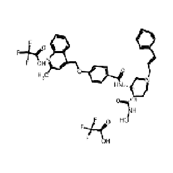 Cc1cc(COc2ccc(C(=O)N[C@@H]3CN(CC=Cc4ccccc4)CC[C@@H]3C(=O)NO)cc2)c2ccccc2n1.O=C(O)C(F)(F)F.O=C(O)C(F)(F)F